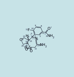 C[C@]1(c2cc(C(N)=O)ccc2F)N=C(N)CS(=O)(=O)[C@H]2COC[C@@H]21